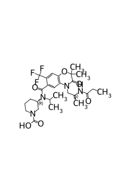 CCC(=O)N[C@@H](C)CN1C(=O)C(C)(C)Oc2cc(C(F)(F)F)c(C(=O)N(C(C)C)[C@@H]3CCCN(C(=O)O)C3)cc21